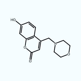 O=c1cc(CN2CCOCC2)c2ccc(O)cc2o1